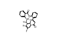 CC(Nc1ccccc1C(=O)O)c1c(F)c(F)cc2c(=O)cc(-c3ccccc3)oc12